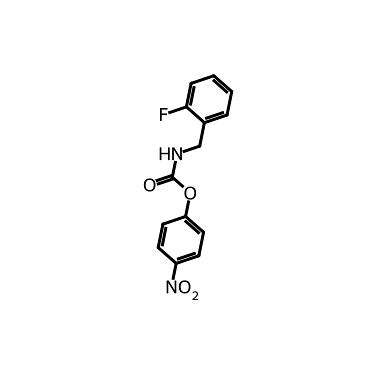 O=C(NCc1ccccc1F)Oc1ccc([N+](=O)[O-])cc1